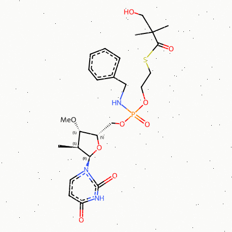 CO[C@H]1[C@H](C)[C@H](n2ccc(=O)[nH]c2=O)O[C@H]1COP(=O)(NCc1ccccc1)OCCSC(=O)C(C)(C)CO